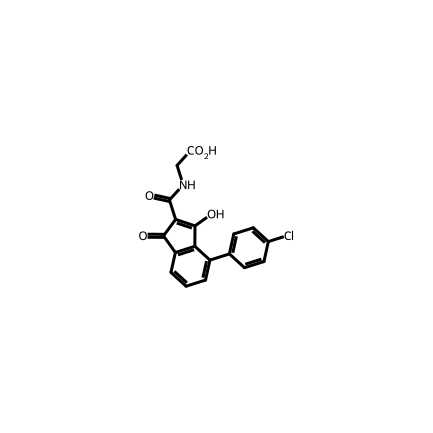 O=C(O)CNC(=O)C1=C(O)c2c(cccc2-c2ccc(Cl)cc2)C1=O